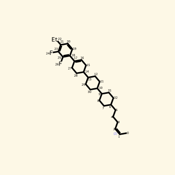 C/C=C\CCCC1CCC(C2CCC(C3CC=C(c4ccc(CC)c(F)c4F)CC3)CC2)CC1